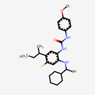 CCOc1ccc(NC(=O)Nc2cc(C(C)CC(=O)O)c(F)cc2NC(C(C)C)C2CCCCC2)cc1